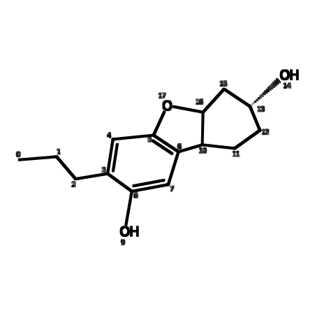 CCCc1cc2c(cc1O)C1CC[C@@H](O)CC1O2